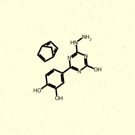 C1=CC2=CC=C1C2.NNc1nc(O)nc(-c2ccc(O)c(O)c2)n1